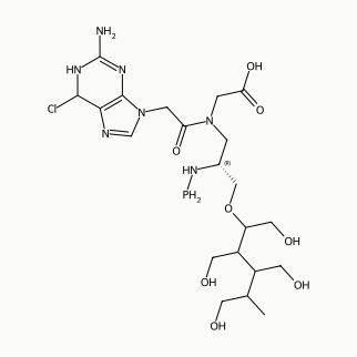 CC(CO)C(CO)C(CO)C(CO)OC[C@@H](CN(CC(=O)O)C(=O)Cn1cnc2c1N=C(N)NC2Cl)NP